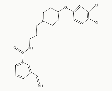 N=Cc1cccc(C(=O)NCCCN2CCC(Oc3ccc(Cl)c(Cl)c3)CC2)c1